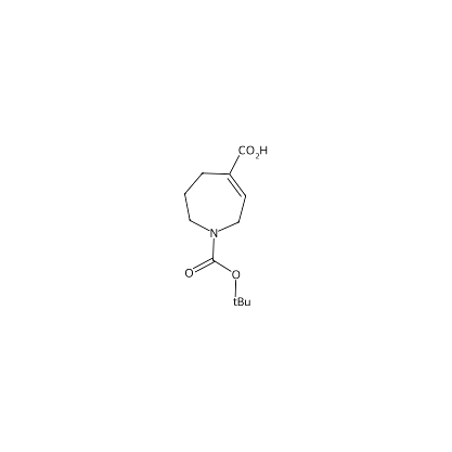 CC(C)(C)OC(=O)N1CC=C(C(=O)O)CCC1